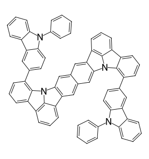 c1ccc(-n2c3ccccc3c3cc(-c4cccc5c6cccc7c8cc9cc%10c(cc9cc8n(c45)c76)c4cccc5c6cccc(-c7ccc8c(c7)c7ccccc7n8-c7ccccc7)c6n%10c45)ccc32)cc1